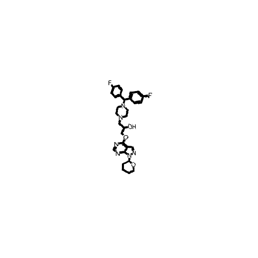 OC(COc1ncnc2c1cnn2C1CCCCO1)CN1CCN(C(c2ccc(F)cc2)c2ccc(F)cc2)CC1